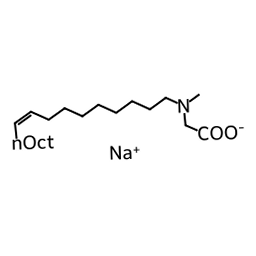 CCCCCCCC/C=C\CCCCCCCCN(C)CC(=O)[O-].[Na+]